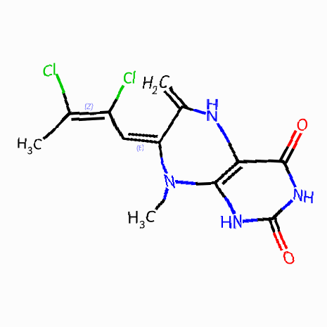 C=C1Nc2c([nH]c(=O)[nH]c2=O)N(C)/C1=C/C(Cl)=C(\C)Cl